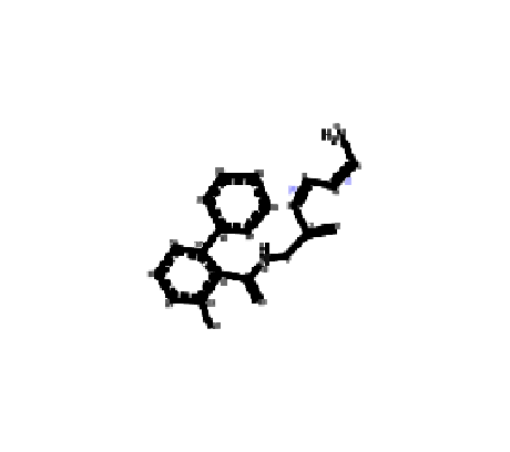 C=C(/C=C\C=C/N)CNC(=C)c1c(C)cccc1-c1ccccc1